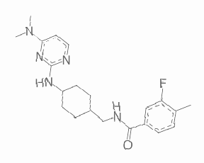 Cc1ccc(C(=O)NCC2CCC(Nc3nccc(N(C)C)n3)CC2)cc1F